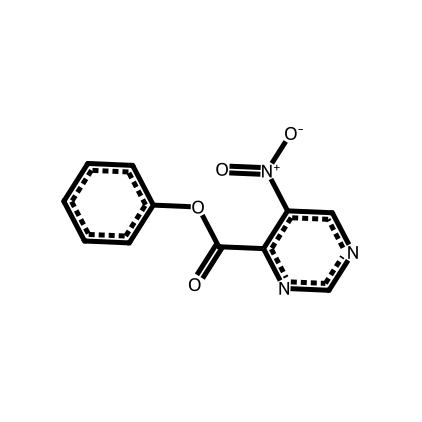 O=C(Oc1ccccc1)c1ncncc1[N+](=O)[O-]